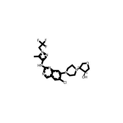 Cc1c(Nc2ncc3cc(Cl)c(N4CCN([C@H]5COC[C@H]5O)CC4)cc3n2)cnn1CC(F)(F)F